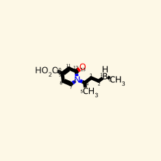 CBCCC(C)n1ccc(C(=O)O)cc1=O